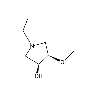 CCN1C[C@H](O)[C@H](OC)C1